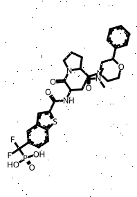 CN(C)CCC(NC(=O)c1cc2cc(C(F)(F)P(=O)(O)O)ccc2s1)C(=O)N1CCCC1C(=O)N1CCOC(c2ccccc2)C1